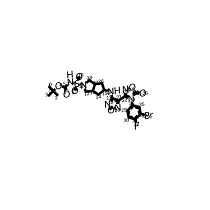 CC(C)(C)OC(=O)NS(=O)(=O)N1CC2CC(Nc3nonc3-c3noc(=O)n3-c3ccc(F)c(Br)c3)CC2C1